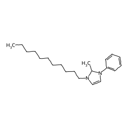 CCCCCCCCCCCN1C=CN(c2ccccc2)C1C